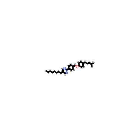 CCCCCCCCc1cnc(C2=CCC(=COC3CC=C(CCC=C(C)C)CC3)C=C2)nc1